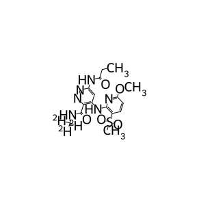 [2H]C([2H])([2H])NC(=O)c1nnc(NC(=O)CC)cc1Nc1nc(OC)ccc1S(C)(=O)=O